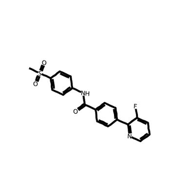 CS(=O)(=O)c1ccc(NC(=O)c2ccc(-c3ncccc3F)cc2)cc1